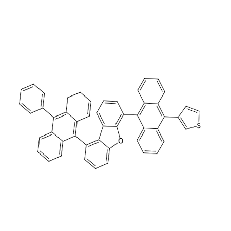 C1=Cc2c(c(-c3ccccc3)c3ccccc3c2-c2cccc3oc4c(-c5c6ccccc6c(-c6ccsc6)c6ccccc56)cccc4c23)CC1